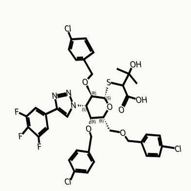 CC(C)(O)C(S[C@@H]1O[C@H](COCc2ccc(Cl)cc2)[C@H](OCc2ccc(Cl)cc2)[C@H](n2cc(-c3cc(F)c(F)c(F)c3)nn2)[C@H]1OCc1ccc(Cl)cc1)C(=O)O